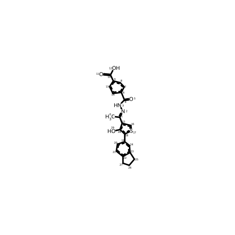 C/C(=N\NC(=O)c1ccc(C(=O)O)cc1)c1csc(-c2ccc3c(c2)CCC3)c1O